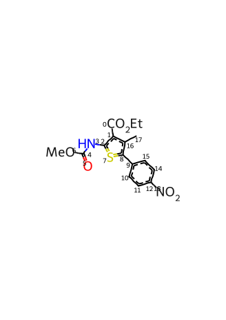 CCOC(=O)c1c(NC(=O)OC)sc(-c2ccc([N+](=O)[O-])cc2)c1C